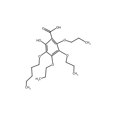 CCCCCOc1c(O)c(C(=O)O)c(OCCC)c(OCCC)c1OCCC